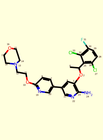 CC(Oc1cc(-c2ccc(OCCN3CCOCC3)nc2)cnc1N)c1c(Cl)ccc(F)c1Cl